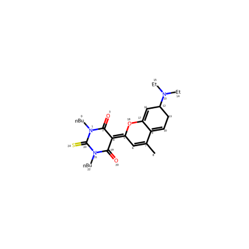 CCCCN1C(=O)C(=C2C=C(C)C3=CCC(N(CC)CC)C=C3O2)C(=O)N(CCCC)C1=S